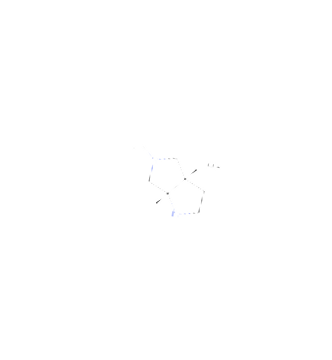 CO[C@@]12CCN[C@@H]1CN(C(=O)O)C2